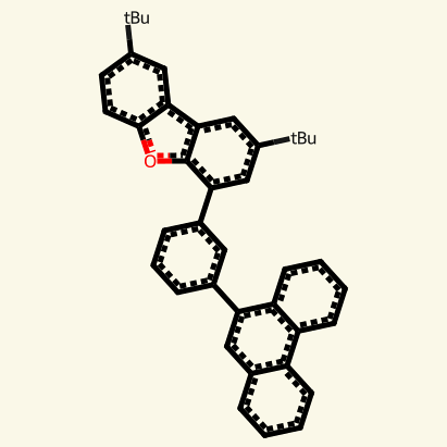 CC(C)(C)c1ccc2oc3c(-c4cccc(-c5cc6ccccc6c6ccccc56)c4)cc(C(C)(C)C)cc3c2c1